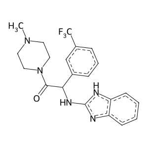 CN1CCN(C(=O)C(Nc2nc3ccccc3[nH]2)c2cccc(C(F)(F)F)c2)CC1